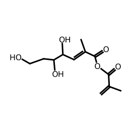 C=C(C)C(=O)OC(=O)C(C)=CC(O)C(O)CCO